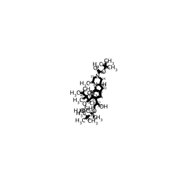 C[SiH2]OC(C)(c1nc2c(cc1C(O)CO[Si](C)(C)C(C)(C)C)C[C@@H]1CN(C(=O)OC(C)(C)C)C[C@@H](C)N21)C(C)(C)C(C)C